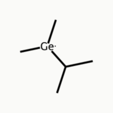 C[CH](C)[Ge]([CH3])[CH3]